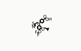 O=C(O)c1ccc(N(Cc2cncs2)c2ccc(OC(F)F)c(OCC3CC3)c2)cc1